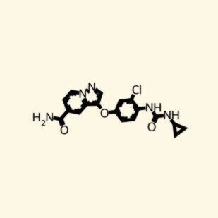 NC(=O)c1ccn2ncc(Oc3ccc(NC(=O)NC4CC4)c(Cl)c3)c2c1